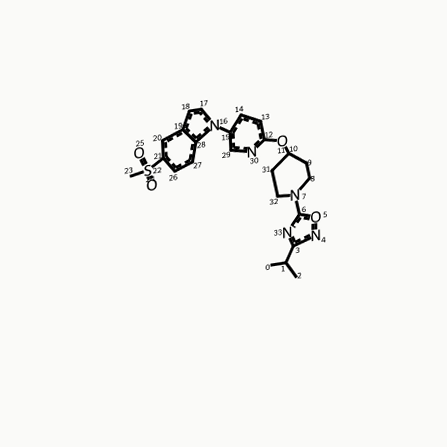 CC(C)c1noc(N2CCC(Oc3ccc(-n4ccc5cc(S(C)(=O)=O)ccc54)cn3)CC2)n1